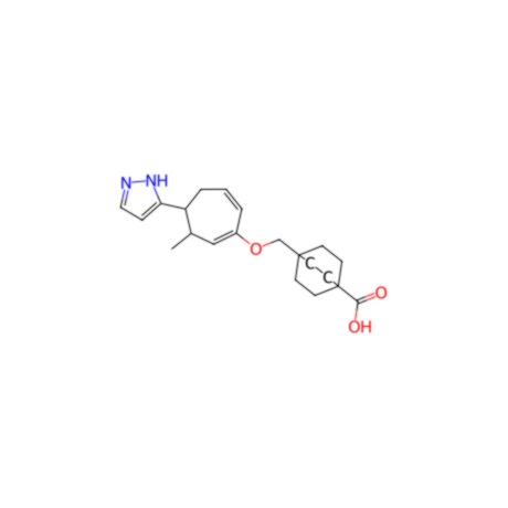 CC1C=C(OCC23CCC(C(=O)O)(CC2)CC3)C=CCC1c1ccn[nH]1